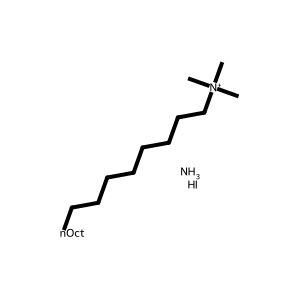 CCCCCCCCCCCCCCCC[N+](C)(C)C.I.N